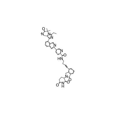 CCc1nc(-c2cccc3cc(-c4ccc(C(=O)NCCC#Cc5cccc6c5CN(C5CCC(=O)NC5=O)C6=O)nc4)ncc23)c2n1C(C)(C)C(=O)N(C)C2